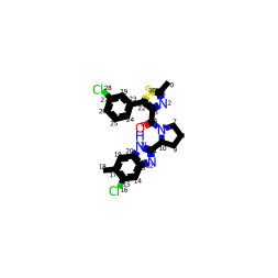 Cc1nc(C(=O)N2CCCC2c2nc3cc(Cl)c(C)cc3[nH]2)c(-c2cccc(Cl)c2)s1